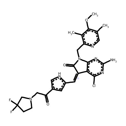 COc1c(C)cnc(CN2C(=O)/C(=C\c3cc(C(=O)CN4CCC(F)(F)C4)c[nH]3)c3c(Cl)nc(N)nc32)c1C